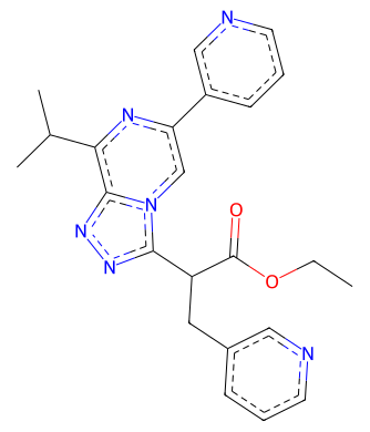 CCOC(=O)C(Cc1cccnc1)c1nnc2c(C(C)C)nc(-c3cccnc3)cn12